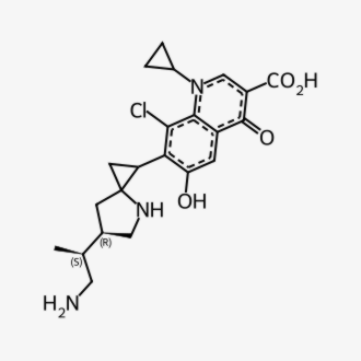 C[C@H](CN)[C@@H]1CNC2(CC2c2c(O)cc3c(=O)c(C(=O)O)cn(C4CC4)c3c2Cl)C1